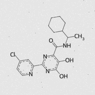 CC(NC(=O)c1nc(-c2cc(Cl)ccn2)nc(O)c1O)C1CCCCC1